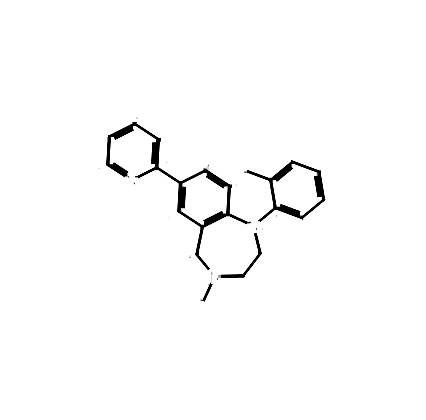 CN1CCN(c2ccccc2Cl)c2ccc(-c3ccccn3)cc2C1